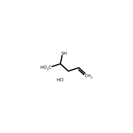 C=CCC(S)C(=O)O.Cl